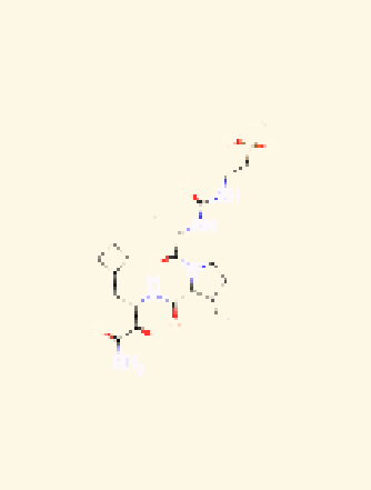 CC(C)(C)C1CCN(C(=O)[C@@H](NC(=O)NCCS(=O)(=O)C(C)(C)C)C(C)(C)C)[C@@H]1C(=O)NC(CC1CCC1)C(=O)C(N)=O